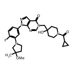 COC1(C)CCN(c2cc(-n3ncc4c(=O)n(CC5(O)CCN(C(=O)C6CC6)CC5)cnc43)ccc2F)C1